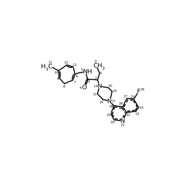 CCC(C(=O)NC1=CCC=C(C)C=C1)N1CCN(c2ccnc3ccc(F)cc23)CC1